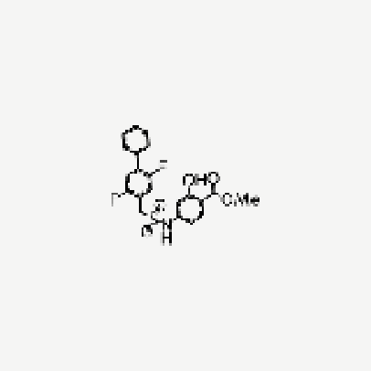 COC(=O)c1ccc(NS(=O)(=O)Cc2cc(F)c(-c3ccccc3)cc2F)cc1O